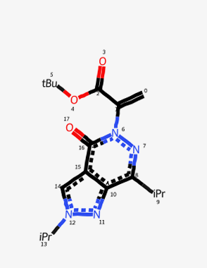 C=C(C(=O)OC(C)(C)C)n1nc(C(C)C)c2nn(C(C)C)cc2c1=O